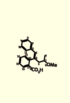 COC(C)CC(=Cc1ccccc1)c1ccccc1C(=O)O